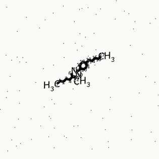 CCCCCc1cnc(C2CCC(CCCCC)CC2)nc1C